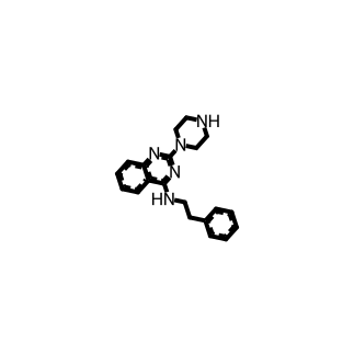 c1ccc(CCNc2nc(N3CCNCC3)nc3ccccc23)cc1